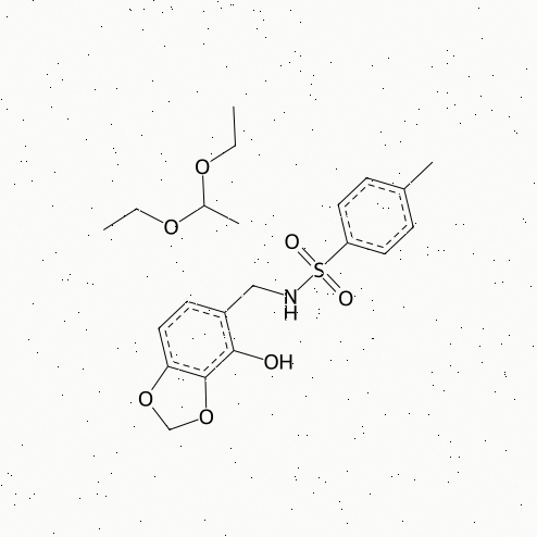 CCOC(C)OCC.Cc1ccc(S(=O)(=O)NCc2ccc3c(c2O)OCO3)cc1